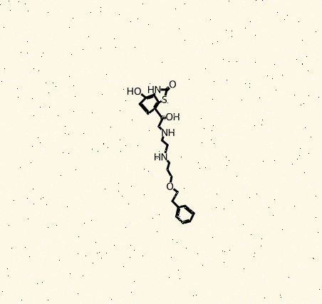 O=c1[nH]c2c(O)ccc([C@@H](O)CNCCNCCCOCCc3ccccc3)c2s1